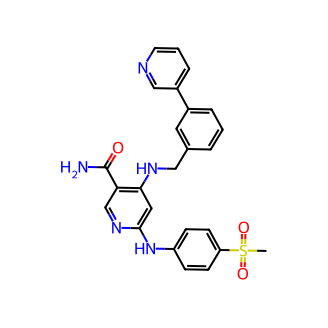 CS(=O)(=O)c1ccc(Nc2cc(NCc3cccc(-c4cccnc4)c3)c(C(N)=O)cn2)cc1